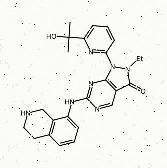 CCn1c(=O)c2cnc(Nc3cccc4c3CNCC4)nc2n1-c1cccc(C(C)(C)O)n1